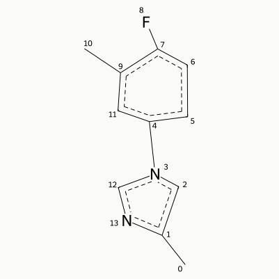 Cc1cn(-c2ccc(F)c(C)c2)cn1